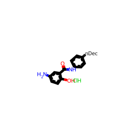 CCCCCCCCCCc1ccc(NC(=O)c2cc(N)ccc2O)cc1.Cl